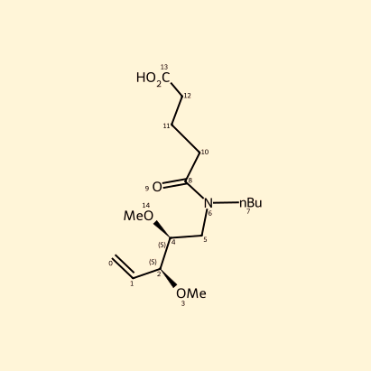 C=C[C@H](OC)[C@H](CN(CCCC)C(=O)CCCC(=O)O)OC